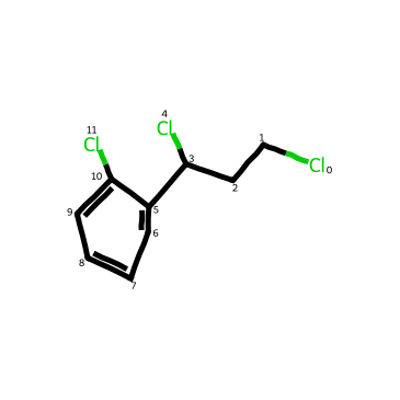 ClCCC(Cl)c1ccccc1Cl